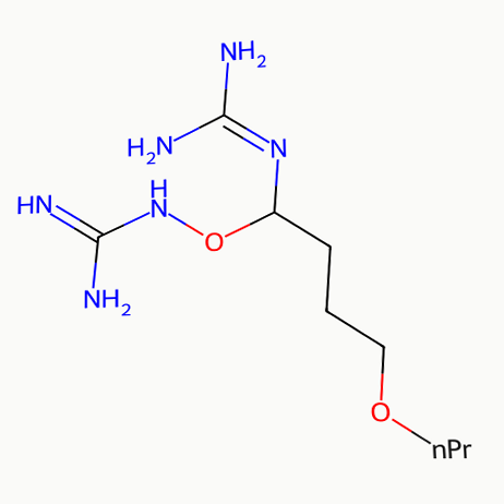 CCCOCCCC(N=C(N)N)ONC(=N)N